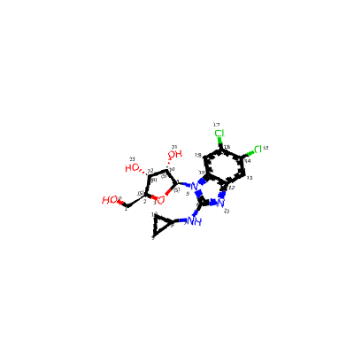 OC[C@@H]1O[C@H](n2c(NC3CC3)nc3cc(Cl)c(Cl)cc32)[C@@H](O)[C@H]1O